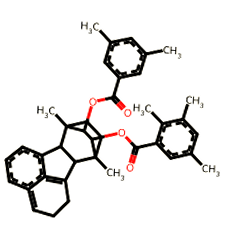 Cc1cc(C)cc(C(=O)OC2C(OC(=O)c3cc(C)cc(C)c3C)C3(C)CCC2(C)C2c4cccc5c4=C(CCC=5)C23)c1